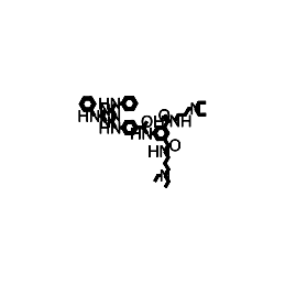 CCN(CC)CCCNC(=O)c1cc(NC(O)c2ccc(Nc3nc(Nc4ccccc4)nc(Nc4ccccc4)n3)cc2)cc(C(=O)NCCCN(CC)CC)c1